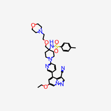 CCOc1cc(-c2ccc(N3CCC(COCCN4CCOCC4)(NS(=O)(=O)c4ccc(C)cc4)CC3)nc2)c2c(C#N)cnn2c1